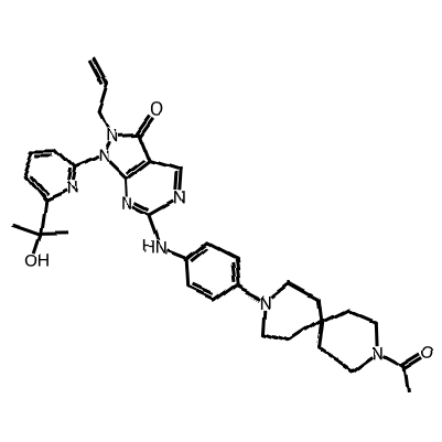 C=CCn1c(=O)c2cnc(Nc3ccc(N4CCC5(CCN(C(C)=O)CC5)CC4)cc3)nc2n1-c1cccc(C(C)(C)O)n1